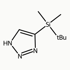 CC(C)(C)[Si](C)(C)c1c[nH]nn1